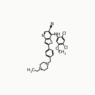 CCN1CCN(Cc2ccc(-c3cc4ncc(C#N)c(Nc5cc(OC)c(Cl)cc5Cl)c4s3)cc2)CC1